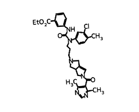 CCOC(=O)c1cccc(NC(=O)N(CCCN2CC3=CN(C(=O)c4c(C)ncnc4C)CC3C2)c2ccc(C)c(Cl)c2)c1